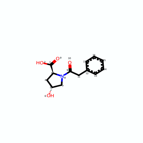 O=C(O)[C@@H]1C[C@@H](O)CN1C(=O)Cc1ccccc1